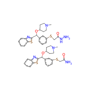 CN1CCC(OC(c2cccc(SCC(=O)NN)c2)c2nc3ccccc3s2)CC1.CN1CCC(OC(c2cccc(SCC(N)=O)c2)c2nc3ccccc3s2)CC1